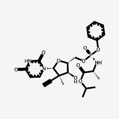 C#C[C@]1(C)[C@H](O)[C@@H](CO[P@](=O)(N[C@H](C)C(=O)OC(C)C)Oc2ccccc2)O[C@H]1n1ccc(=O)[nH]c1=O